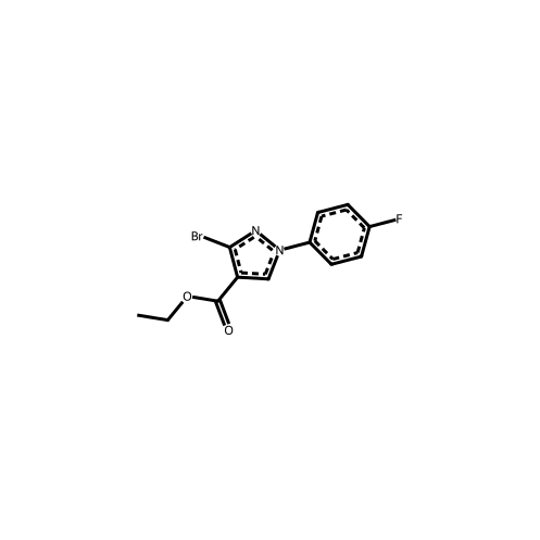 CCOC(=O)c1cn(-c2ccc(F)cc2)nc1Br